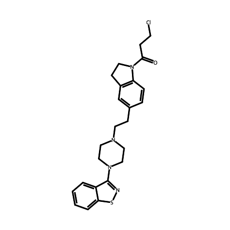 O=C(CCCl)N1CCc2cc(CCN3CCN(c4nsc5ccccc45)CC3)ccc21